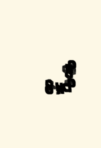 CCN(CCCCC(=O)c1cc2c3c(c1)CCC(=O)N3CCC2)CCc1ccccc1OC.Cl